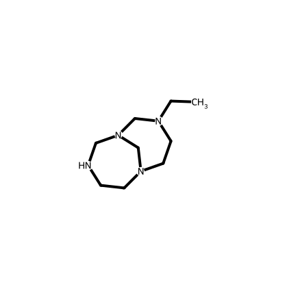 CCN1CCN2CCNCN(C1)C2